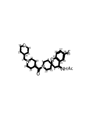 CC(=O)NC1CC2(CCN(C(=O)C3CCN(CC4CCOCC4)CC3)CC2)Oc2ccc(F)cc21